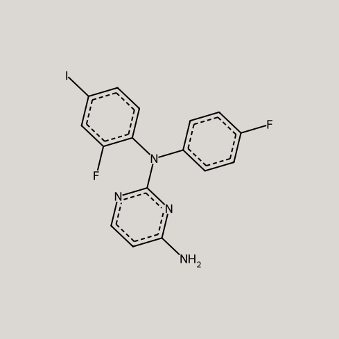 Nc1ccnc(N(c2ccc(F)cc2)c2ccc(I)cc2F)n1